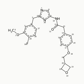 COc1cc(Cn2ncc(NC(=O)Cc3ccc(OCC4COC4)cc3)n2)ccc1F